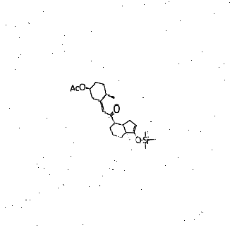 CC(=O)O[C@H]1CC[C@@H](C)/C(=C\C(=O)[C@@H]2CCC[C@]3(C)C(O[Si](C)(C)C)=CCC23)C1